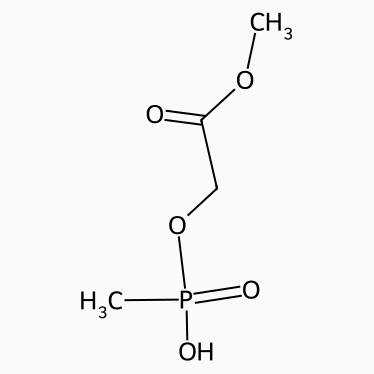 COC(=O)COP(C)(=O)O